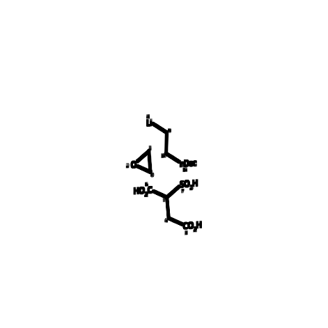 C1CO1.O=C(O)CC(C(=O)O)S(=O)(=O)O.[Li][CH2]CCCCCCCCCCC